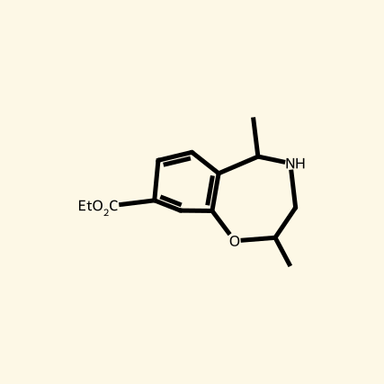 CCOC(=O)c1ccc2c(c1)OC(C)CNC2C